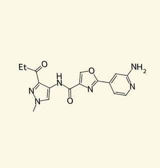 CCC(=O)c1nn(C)cc1NC(=O)c1coc(-c2ccnc(N)c2)n1